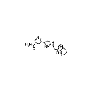 CC(C)(CNc1ccc(-c2cncc(C(N)=O)c2)nn1)c1ccccc1Cl